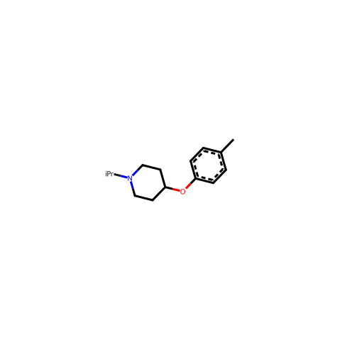 Cc1ccc(OC2CCN(C(C)C)CC2)cc1